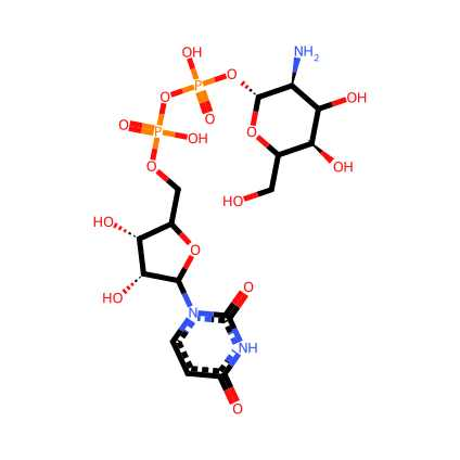 N[C@H]1C(O)[C@@H](O)C(CO)O[C@@H]1OP(=O)(O)OP(=O)(O)OCC1OC(n2ccc(=O)[nH]c2=O)[C@H](O)[C@@H]1O